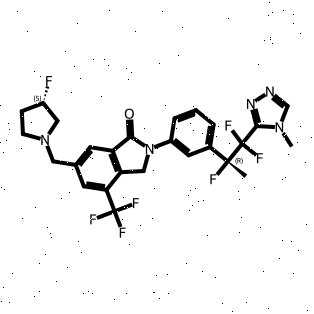 Cn1cnnc1C(F)(F)[C@](C)(F)c1cccc(N2Cc3c(cc(CN4CC[C@H](F)C4)cc3C(F)(F)F)C2=O)c1